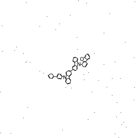 C1=CCCC(c2ccc(-n3c4ccccc4c4cc(-c5ccc6c(c5)c5ccccc5n6C5CC=Cc6c5oc5ccccc65)ccc43)cc2)=C1